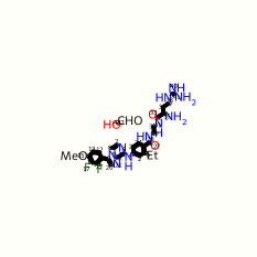 CCc1cc(Nc2nccn3c(-c4ccc(OC)c(F)c4F)cnc23)ccc1C(=O)NCCNC(=O)C(N)CCNC(=N)N.O=CO